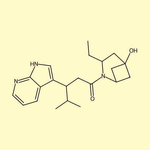 CCC1CC2(O)CC(C2)N1C(=O)CC(c1c[nH]c2ncccc12)C(C)C